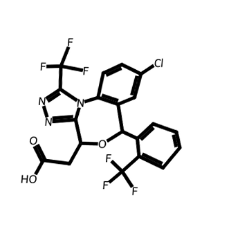 O=C(O)CC1OC(c2ccccc2C(F)(F)F)c2cc(Cl)ccc2-n2c1nnc2C(F)(F)F